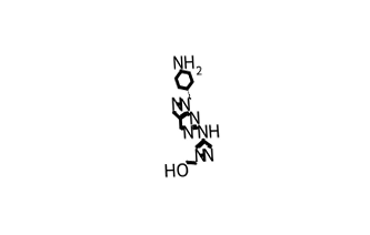 N[C@H]1CC[C@H](Cn2ncc3cnc(Nc4cnn(CCO)c4)nc32)CC1